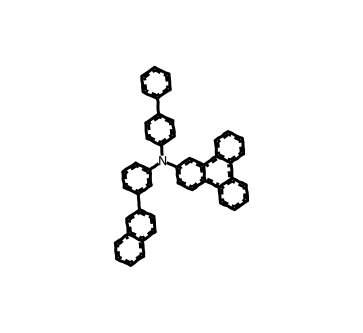 c1ccc(-c2ccc(N(c3cccc(-c4ccc5ccccc5c4)c3)c3ccc4c5ccccc5c5ccccc5c4c3)cc2)cc1